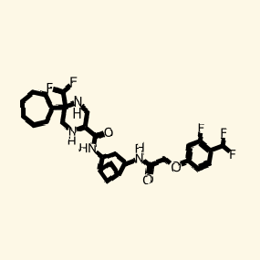 O=C(COc1ccc(C(F)F)c(F)c1)NC1CC(NC(=O)C2CNC(C(F)F)(C3CCCCCC3)CN2)C2CC1C2